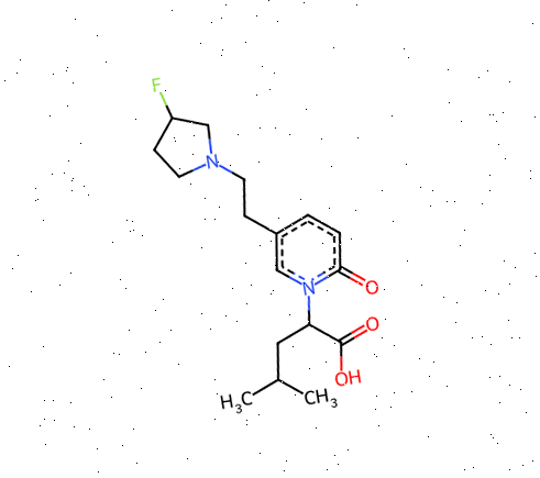 CC(C)CC(C(=O)O)n1cc(CCN2CCC(F)C2)ccc1=O